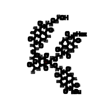 CCCCCCN1C(=O)c2ccc3c4c(ccc(c24)C1=O)C(=O)N(CCOCCOC(=O)C(CC(C)C(=O)OCCOCCN1C(=O)c2ccc4c5c(ccc(c25)C1=O)C(=O)N(CCOCCO)C4=O)CC(CC)C(=O)OCCOCCN1C(=O)c2ccc4c5c(ccc(c25)C1=O)C(=O)N(CCCC)C4=O)C3=O